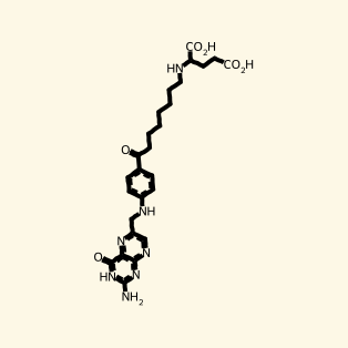 Nc1nc2ncc(CNc3ccc(C(=O)CCCCCCCNC(CCC(=O)O)C(=O)O)cc3)nc2c(=O)[nH]1